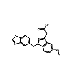 COc1ccc2c(c1)c(CC(=O)O)nn2Cc1ccc2scnc2c1